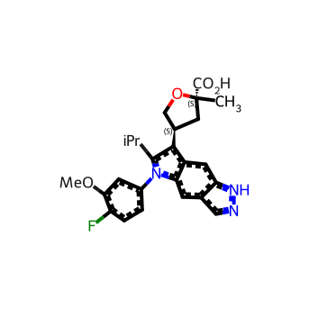 COc1cc(-n2c(C(C)C)c([C@H]3CO[C@](C)(C(=O)O)C3)c3cc4[nH]ncc4cc32)ccc1F